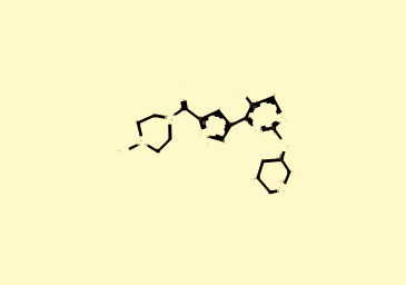 CN1CCN(C(=O)c2cc(-c3nc(NC4CCCNC4)ncc3C(F)(F)F)c[nH]2)CC1